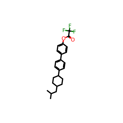 CC(C)CC1CCC(c2ccc(-c3ccc(OC(=O)C(F)(F)F)cc3)cc2)CC1